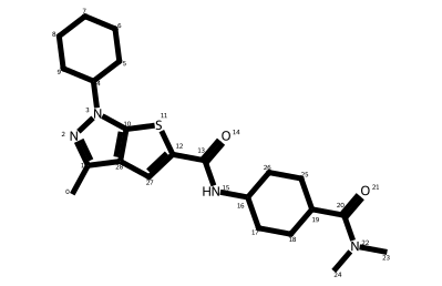 Cc1nn(C2CCCCC2)c2sc(C(=O)NC3CCC(C(=O)N(C)C)CC3)cc12